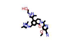 CCOc1cc(C(C)N2CCc3c(cc(Cn4cc(C)nc4C)cc3-c3cn(CCO)nc3C)C2=O)ncc1C#N